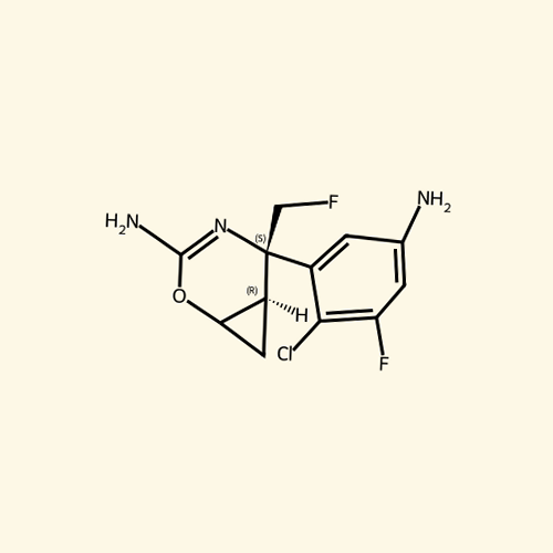 NC1=N[C@](CF)(c2cc(N)cc(F)c2Cl)[C@H]2CC2O1